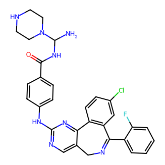 NC(NC(=O)c1ccc(Nc2ncc3c(n2)-c2ccc(Cl)cc2C(c2ccccc2F)=NC3)cc1)N1CCNCC1